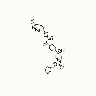 O=C(Nc1ccc(C2(O)CCN(C(=O)OCc3ccccc3)CC2)cc1)C1CN(c2ccc(Cl)nn2)C1